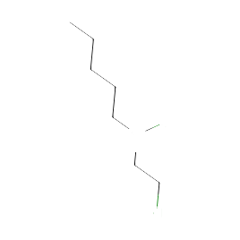 CCCC[CH2][SnH]([Cl])[CH2]CCl